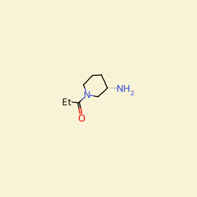 CCC(=O)N1CCC[C@H](N)C1